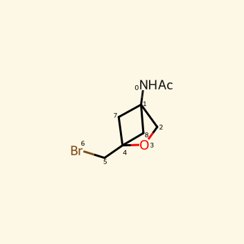 CC(=O)NC12COC(CBr)(C1)C2